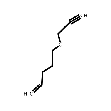 C#CCOCCCC=C